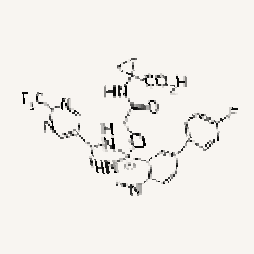 CC(N[C@@]1(OCC(=O)NC2(C(=O)O)CC2)NC=Nc2ccc(-c3ccc(F)cc3)cc21)c1cnc(C(F)(F)F)nc1